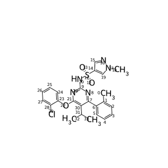 Cc1ccccc1-c1nc(NS(=O)(=O)c2cnn(C)c2)nc(Oc2ccccc2Cl)c1C(C)C